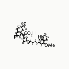 COc1cc(CCCCO[C@@H]2CCN([C@H](C(=O)O)c3cc(F)cc4c3CC(C(C)(C)F)OC4)C2)nc2c1CCCN2